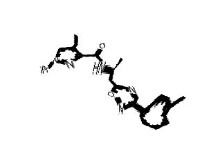 Cc1cccc(-c2noc([C@H](C)NC(=O)c3nn(C(C)C)cc3C)n2)c1